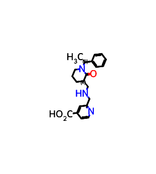 C[C@H](c1ccccc1)N1CCC[C@H](CNCc2cc(C(=O)O)ccn2)C1=O